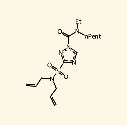 C=CCN(CC=C)S(=O)(=O)c1ncn(C(=O)N(CC)CCCCC)n1